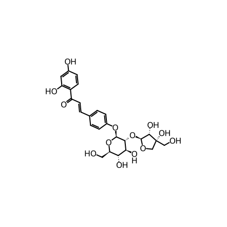 O=C(/C=C/c1ccc(O[C@@H]2O[C@H](CO)[C@@H](O)[C@H](O)[C@H]2O[C@@H]2OC[C@](O)(CO)[C@H]2O)cc1)c1ccc(O)cc1O